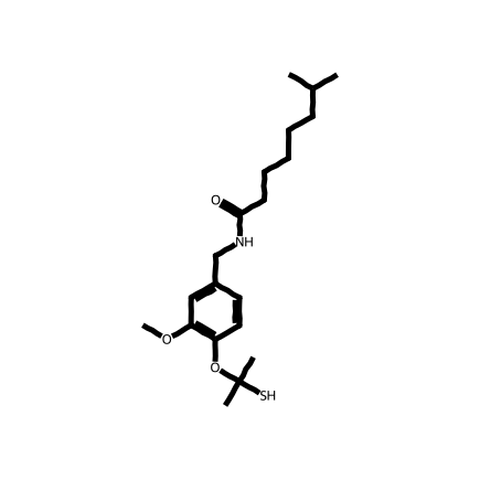 COc1cc(CNC(=O)CCCCCC(C)C)ccc1OC(C)(C)S